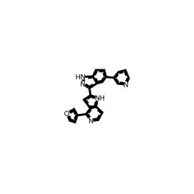 c1cncc(-c2ccc3[nH]nc(-c4cc5c(-c6ccoc6)nccc5[nH]4)c3c2)c1